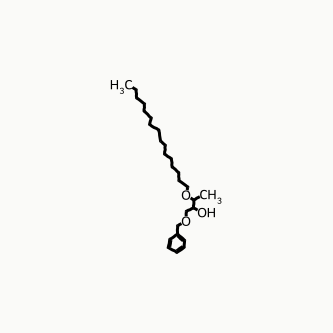 CCCCCCCCCCCCCCCCOC(C)C(O)COCc1ccccc1